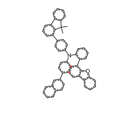 CC1(C)c2ccccc2-c2cccc(-c3ccc(N(c4ccc(-c5ccc6ccccc6c5)cc4)c4ccccc4-c4cccc5c4oc4ccccc45)cc3)c21